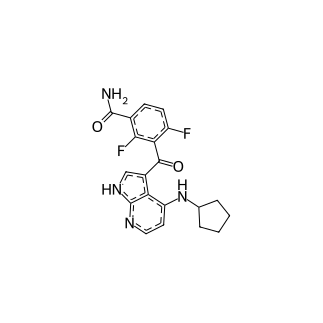 NC(=O)c1ccc(F)c(C(=O)c2c[nH]c3nccc(NC4CCCC4)c23)c1F